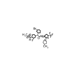 CC1CCN(c2nc(C(F)(F)F)ccc2CNC(=O)C(c2cccc(Br)c2)c2ccc(NS(C)(=O)=O)c(F)c2)CC1